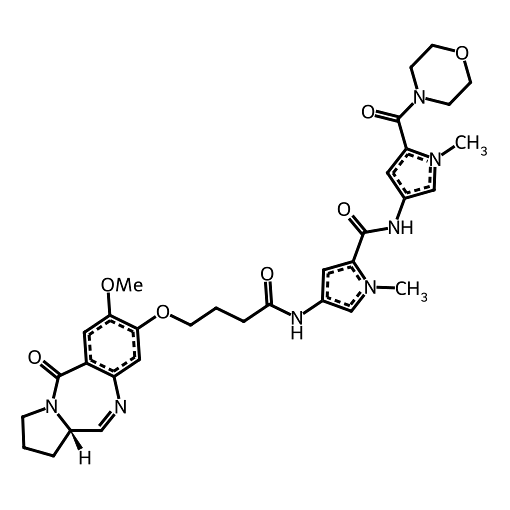 COc1cc2c(cc1OCCCC(=O)Nc1cc(C(=O)Nc3cc(C(=O)N4CCOCC4)n(C)c3)n(C)c1)N=C[C@@H]1CCCN1C2=O